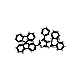 c1ccc(-c2nc(-c3ccc4c(c3)C3(c5ccccc5-c5ccccc53)c3ccccc3-4)nc3nc4c5ccccc5c5ccccc5n4c23)cc1